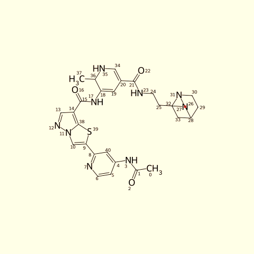 CC(=O)Nc1ccnc(-c2cn3ncc(C(=O)NC4=CC(C(=O)NCCN5CC6CCN5CC6)=CNC4C)c3s2)c1